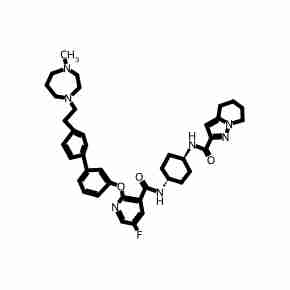 CN1CCCN(CCc2ccc(-c3cccc(Oc4ncc(F)cc4C(=O)N[C@H]4CC[C@H](NC(=O)c5cc6n(n5)CCCC6)CC4)c3)cc2)CC1